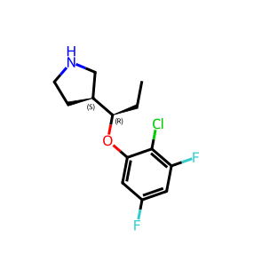 CC[C@@H](Oc1cc(F)cc(F)c1Cl)[C@H]1CCNC1